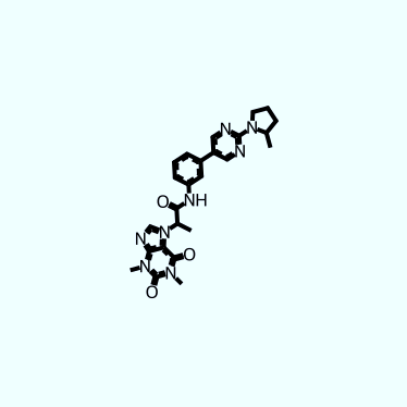 CC1CCCN1c1ncc(-c2cccc(NC(=O)C(C)n3cnc4c3c(=O)n(C)c(=O)n4C)c2)cn1